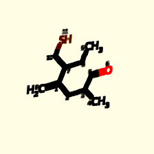 C=C(CC(C)C=O)C(CC)CS